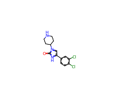 O=c1[nH]c(-c2ccc(Cl)c(Cl)c2)cn1C1CCNCC1